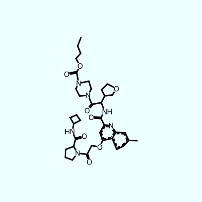 CCCCOC(=O)N1CCN(C(=O)C(NC(=O)c2cc(OCC(=O)N3CCCC3C(=O)NC3CCC3)c3ccc(C)cc3n2)C2CCOC2)CC1